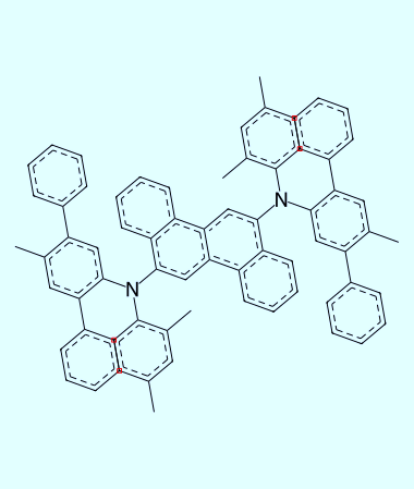 Cc1ccc(N(c2cc(-c3ccccc3)c(C)cc2-c2ccccc2)c2cc3c4ccccc4c(N(c4ccc(C)cc4C)c4cc(-c5ccccc5)c(C)cc4-c4ccccc4)cc3c3ccccc23)c(C)c1